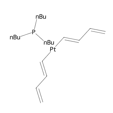 C=CC=[CH][Pt][CH]=CC=C.CCCCP(CCCC)CCCC